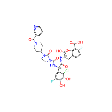 O=C(O)c1c(F)ccc2c1OB(O)[C@@H](NC(=O)[C@H](NC(=O)N1CCN(C3CCN(C(=O)c4cccnc4)CC3)C1=O)c1cc(F)c(O)c(O)c1Cl)C2